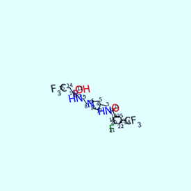 O=C(NCC1CCN(CCNP(O)CCC(F)(F)F)CC1)c1cc(F)cc(C(F)(F)F)c1